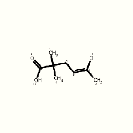 C/C(Cl)=C/CC(C)(C)C(=O)O